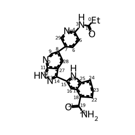 CCC(=O)Nc1ccc(-c2cnc3[nH]nc(-c4cc5c(C(N)=O)cccc5[nH]4)c3c2)cn1